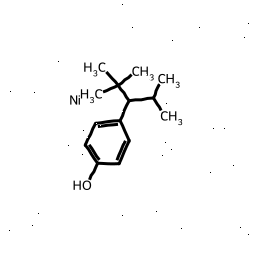 CC(C)C(c1ccc(O)cc1)C(C)(C)C.[Ni]